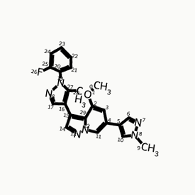 COc1cc(-c2cnn(C)c2)cn2ncc(-c3cnn(-c4ccccc4F)c3C)c12